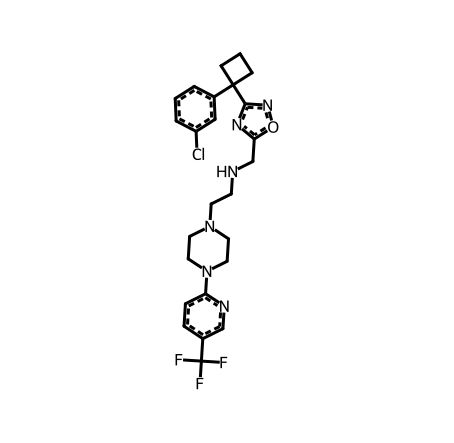 FC(F)(F)c1ccc(N2CCN(CCNCc3nc(C4(c5cccc(Cl)c5)CCC4)no3)CC2)nc1